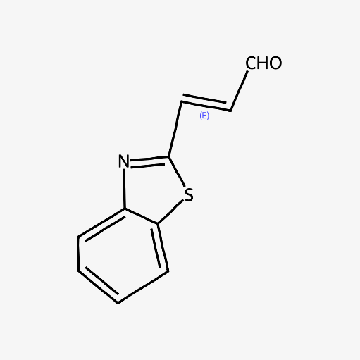 O=C/C=C/c1nc2ccccc2s1